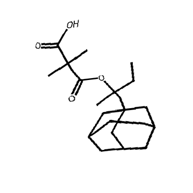 CCC(C)(OC(=O)C(C)(C)C(=O)O)C12CC3CC(CC(C3)C1)C2